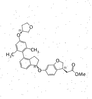 COC(=O)C[C@@H]1COc2cc(O[C@@H]3CCc4c(-c5c(C)cc(O[C@H]6CCOC6)cc5C)cccc43)ccc21